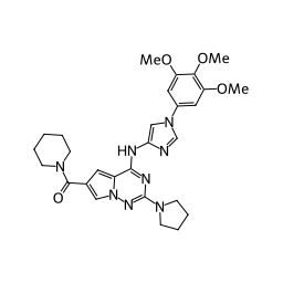 COc1cc(-n2cnc(Nc3nc(N4CCCC4)nn4cc(C(=O)N5CCCCC5)cc34)c2)cc(OC)c1OC